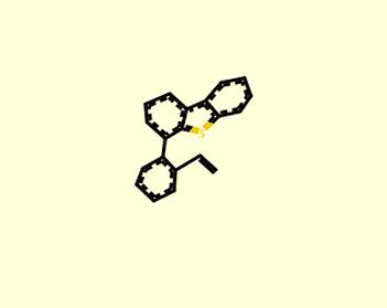 C=Cc1ccccc1-c1cccc2c1sc1ccccc12